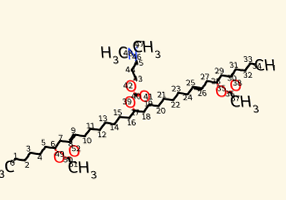 CCCCCCC(CC=CCCCCCCCC(CCCCCCCC=CCC(CCCCCC)OC(C)=O)OC(=O)OCCCN(C)C)OC(C)=O